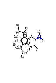 CCC(C)C1=C(CCN(C)C)C(C(C)CC)[C]([Ti]([CH3])[CH3])=C1C(C)CC